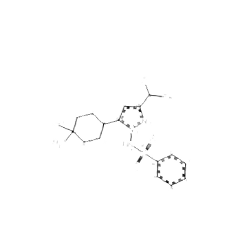 CC1(Cl)CCC(c2cc(C(F)F)nn2NS(=O)(=O)c2ccccc2)CC1